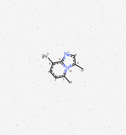 Cc1ccc(C(C)C)c2ncc(C)n12